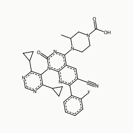 CC1CN(C(=O)O)CCN1c1nc(=O)n(-c2c(C3CC3)ncnc2C2CC2)c2nc(-c3ccccc3F)c(C#N)cc12